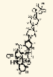 COc1cc(N2CCN(C3CCN(C(=O)OC(C)(C)C)CC3)CC2)ccc1Nc1ncc(Cl)c(Nc2ccccc2NS(C)(=O)=O)n1